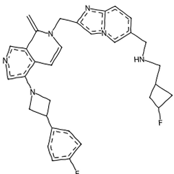 C=C1c2cncc(N3CC(c4ccc(F)cc4)C3)c2C=CN1Cc1cn2cc(CNCC3CC(F)C3)ccc2n1